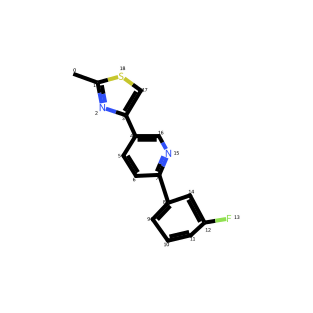 Cc1nc(-c2ccc(-c3cccc(F)c3)nc2)cs1